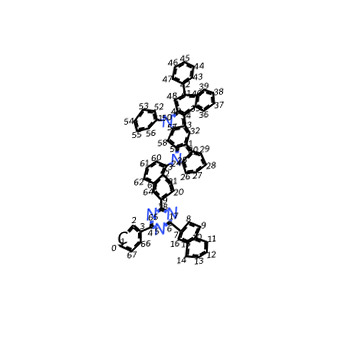 c1ccc(-c2nc(-c3ccc4ccccc4c3)nc(-c3ccc4c(-n5c6ccccc6c6cc7c8c9ccccc9c(-c9ccccc9)cc8n(-c8ccccc8)c7cc65)cccc4c3)n2)cc1